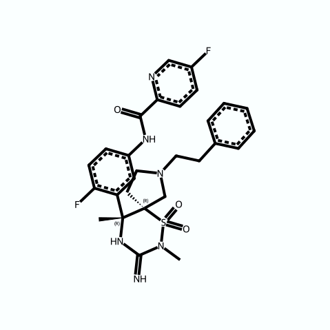 CN1C(=N)N[C@](C)(c2cc(NC(=O)c3ccc(F)cn3)ccc2F)[C@]2(CCN(CCc3ccccc3)C2)S1(=O)=O